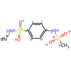 CCCCNS(=O)(=O)c1ccc(NS(C)(=O)=O)cc1